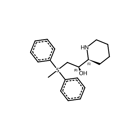 CS(C[C@H](O)[C@@H]1CCCCN1)(c1ccccc1)c1ccccc1